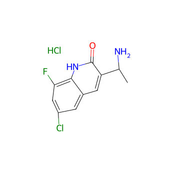 CC(N)c1cc2cc(Cl)cc(F)c2[nH]c1=O.Cl